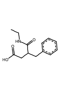 CCNC(=O)C(CC(=O)O)Cc1ccccc1